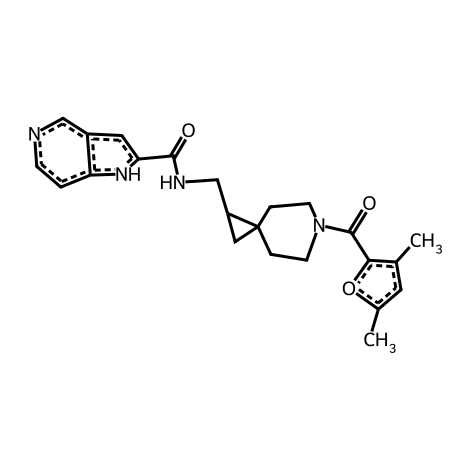 Cc1cc(C)c(C(=O)N2CCC3(CC2)CC3CNC(=O)c2cc3cnccc3[nH]2)o1